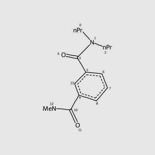 CCCN(CCC)C(=O)c1cccc(C(=O)NC)c1